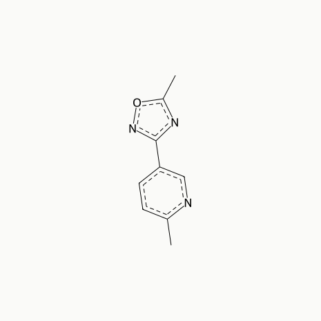 Cc1ccc(-c2noc(C)n2)cn1